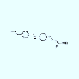 CCCc1ccc(CO[C@H]2CC[C@H](CCC=C(F)C#N)CC2)cc1